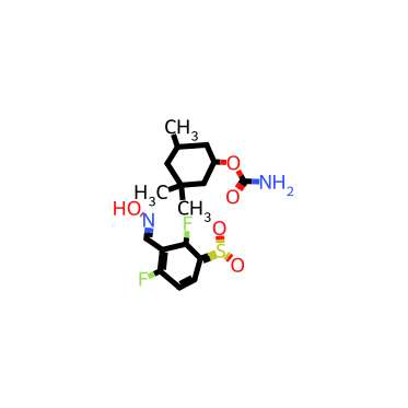 CC1CC(OC(N)=O)CC(C)(C)C1.O=S(=O)=C1C=CC(F)=C(C=NO)C1F